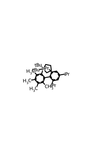 Cc1c(C)c(C)c(P2(C(C)(C)C)(C(C)(C)C)CCCC2)c(-c2c(C(C)C)cc(C(C)C)cc2C(C)C)c1C